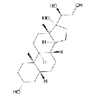 C[C@]12CC[C@@H](O)C[C@H]1CC[C@@H]1[C@@H]2CC[C@@]2(C)[C@H]1CC[C@]2(O)[C@@H](O)CO